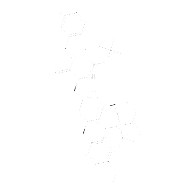 COc1ccc(C[C@@H](CCC[C@H](NC(=O)OC(C)(C)C)C(=O)OCc2ccccc2)[C@@H](O[Si](C(C)C)(C(C)C)C(C)C)[C@H](C)O)cc1